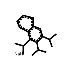 CC(C)c1cc2ccccc2c(C(C)C)c1C(C)C.[NaH]